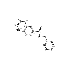 O=C(OCc1ccccc1)c1ccc2c(c1)SN=CN2